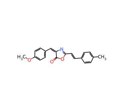 COc1ccc(C=C2N=C(C=Cc3ccc(C)cc3)OC2=O)cc1